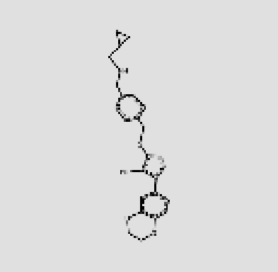 N#Cc1c(-c2ccc3c(c2)OCCO3)csc1OCc1ccc(CNCC2CC2)cc1